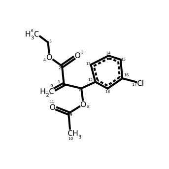 C=C(C(=O)OCC)C(OC(C)=O)c1cccc(Cl)c1